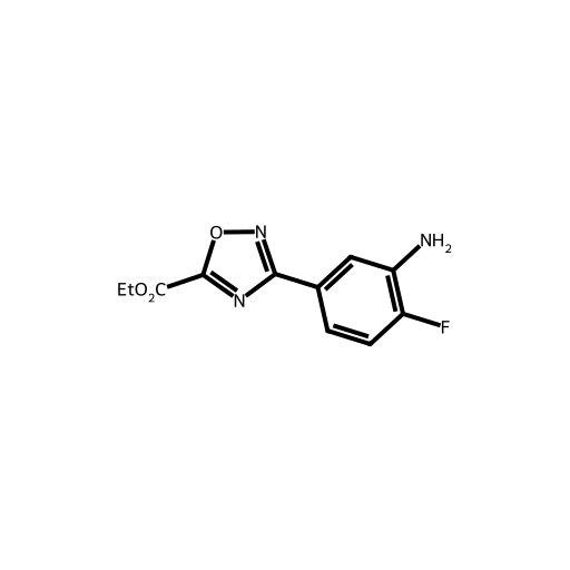 CCOC(=O)c1nc(-c2ccc(F)c(N)c2)no1